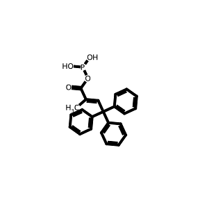 CC(=CC(c1ccccc1)(c1ccccc1)c1ccccc1)C(=O)OP(O)O